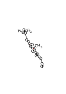 C=C(C)C(=O)OCCCCCCOc1ccc2cc(C(=O)Oc3ccc(OC(=O)c4ccc(OC(=O)c5ccc(OCCCCOC[C@@H]6CO6)cc5)cc4)c(CCC)c3)ccc2c1